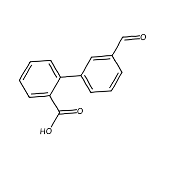 O=Cc1cccc(-c2ccccc2C(=O)O)c1